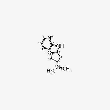 CN(C)[C@H]1Cc2[nH]c3ncccc3c2C1